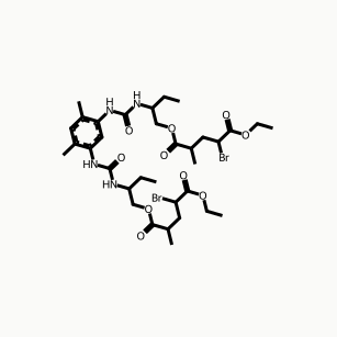 CCOC(=O)C(Br)CC(C)C(=O)OCC(CC)NC(=O)Nc1cc(NC(=O)NC(CC)COC(=O)C(C)CC(Br)C(=O)OCC)c(C)cc1C